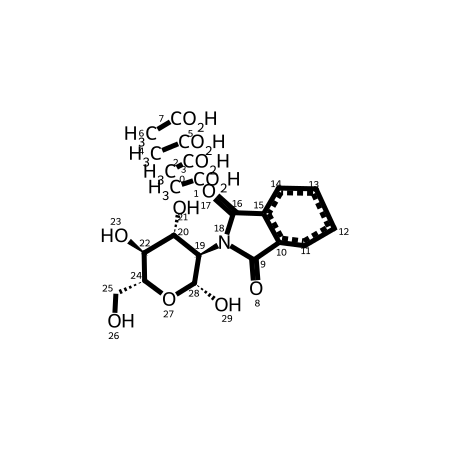 CC(=O)O.CC(=O)O.CC(=O)O.CC(=O)O.O=C1c2ccccc2C(=O)N1[C@@H]1[C@@H](O)[C@H](O)[C@@H](CO)O[C@H]1O